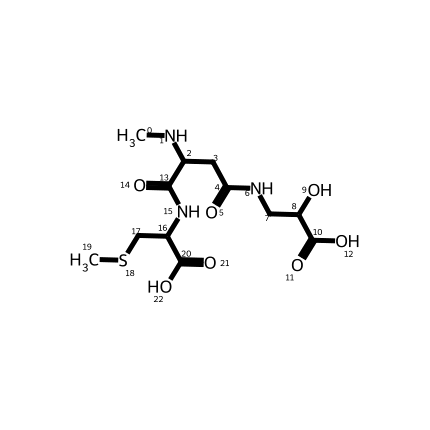 CNC(CC(=O)NCC(O)C(=O)O)C(=O)NC(CSC)C(=O)O